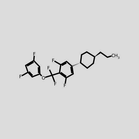 CCC[C@H]1CC[C@H](c2cc(F)c(C(F)(F)Oc3cc(F)cc(F)c3)c(F)c2)CC1